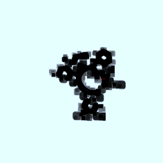 C#CCCN(C)[C@@H]1C[C@H](O[C@@H]2[C@@H](C)[C@H](O[C@H]3C[C@@](C)(OC)[C@@H](O)[C@H](C)O3)[C@@H](C)C(=O)O[C@H](I)[C@@](C)(OC=O)[C@@H]3NC4CCCCC4N=C([C@@H]4CO[C@]2(C)C4)[C@@H]3C)O[C@H](C)C1